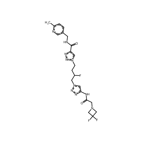 Cc1ccc(CNC(=O)c2cn(CCC(F)Cn3cc(NC(=O)CN4CC(F)(F)C4)nn3)nn2)cn1